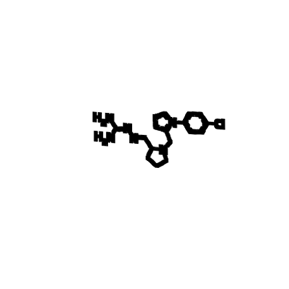 NC(N)=N/N=C/C1CCCN1Cc1cccn1-c1ccc(Cl)cc1